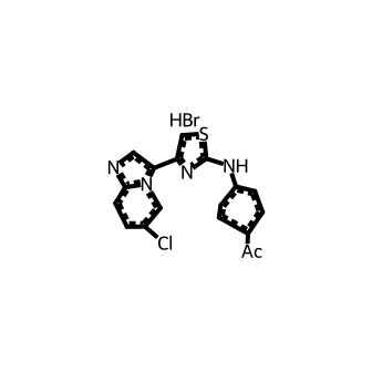 Br.CC(=O)c1ccc(Nc2nc(-c3cnc4ccc(Cl)cn34)cs2)cc1